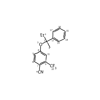 CCC(C)(Oc1ccc(C#N)c(C(F)(F)F)c1)c1ccccc1